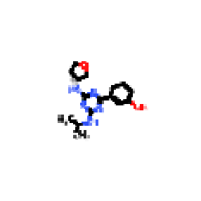 CC(C)Nc1nc(N[C@@H]2CCOC2)nc(C2=CC(O)CCC2)n1